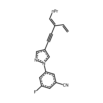 C=C/C(C#Cc1cnn(-c2cc(F)cc(C#N)c2)c1)=C\CCC